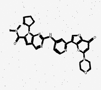 CN(C)C(=O)c1cc2cnc(Nc3ccnc(-c4coc5c(=O)cc(N6CCOCC6)oc45)c3)nc2n1C1CCCC1